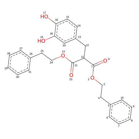 O=C(OCCc1ccccc1)C(Cc1ccc(O)c(O)c1)C(=O)OCCc1ccccc1